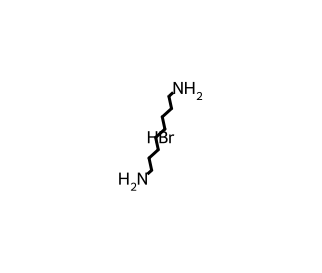 Br.NCCCCCCCCN